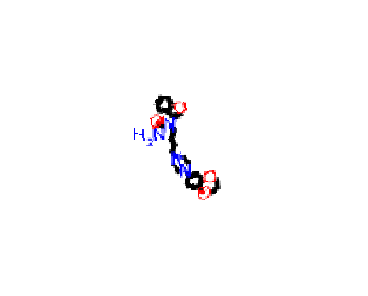 NC(=O)N(CCCCN1CCN(c2ccc3c(c2)OCCCO3)CC1)c1coc2ccccc12